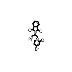 CC(C)CC(Cn1ccc(Br)cc1=O)N1C(=O)c2ccccc2C1=O